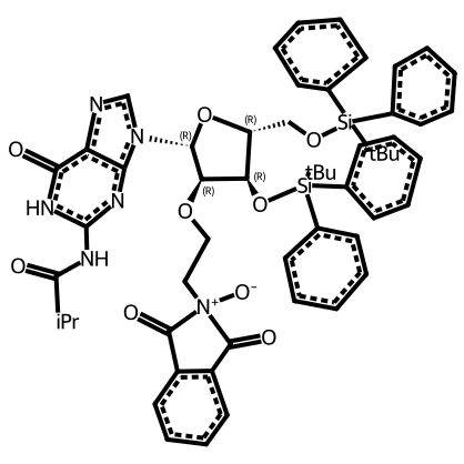 CC(C)C(=O)Nc1nc2c(ncn2[C@@H]2O[C@H](CO[Si](c3ccccc3)(c3ccccc3)C(C)(C)C)[C@@H](O[Si](c3ccccc3)(c3ccccc3)C(C)(C)C)[C@H]2OCC[N+]2([O-])C(=O)c3ccccc3C2=O)c(=O)[nH]1